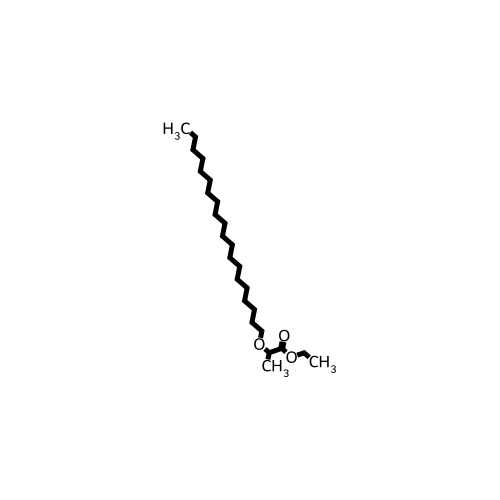 CCCCCCCCCCCCCCCCCCCCOC(C)C(=O)OCC